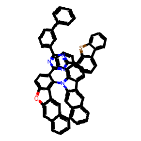 c1ccc(-c2cccc(-c3nc(-c4ccc5oc6cc7ccccc7cc6c5c4-n4c5cc6ccccc6cc5c5ccc6ccccc6c54)nc(-c4cccc5c4sc4ccccc45)n3)c2)cc1